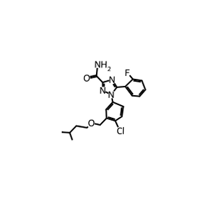 CC(C)CCOCc1cc(-n2nc(C(N)=O)nc2-c2ccccc2F)ccc1Cl